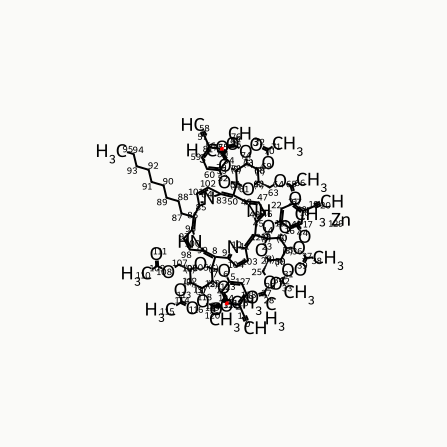 C#Cc1ccc(O[C@]2(c3c4nc(c([C@@]5(Oc6ccc(C#C)cc6)O[C@H](COC(C)=O)[C@@H](OC(C)=O)[C@H](OC(C)=O)[C@@H]5OC(C)=O)c5ccc([nH]5)c([C@@]5(Oc6ccc(C#C)cc6)O[C@H](COC(C)=O)[C@@H](OC(C)=O)[C@H](OC(C)=O)[C@@H]5OC(C)=O)c5nc(c(CCCCCCCCC)c6ccc3[nH]6)C=C5)C=C4)O[C@H](COC(C)=O)[C@@H](OC(C)=O)[C@H](OC(C)=O)[C@@H]2OC(C)=O)cc1.[Zn]